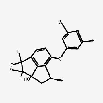 O[C@]12C[C@H](F)c3c(Oc4cc(F)cc(Cl)c4)ccc(c31)C(F)(F)C2(F)F